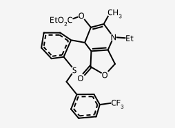 CCOC(=O)OC1=C(C)N(CC)C2=C(C(=O)OC2)C1c1ccccc1SCc1cccc(C(F)(F)F)c1